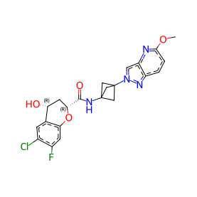 COc1ccc2nn(C34CC(NC(=O)[C@H]5C[C@@H](O)c6cc(Cl)c(F)cc6O5)(C3)C4)cc2n1